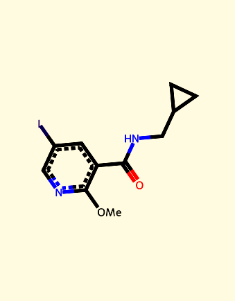 COc1ncc(I)cc1C(=O)NCC1CC1